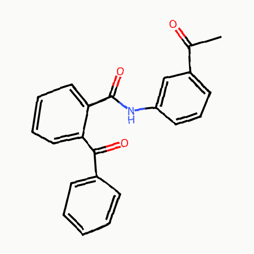 CC(=O)c1cccc(NC(=O)c2ccccc2C(=O)c2ccccc2)c1